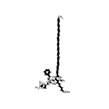 CC#CC#CC#CC#CC#CC#CC#CC#CC#CC#CC#CC#CC(=O)N[C@@H](COP(=O)(OCc1ccccc1)OC[C@H]1COC(C)(C)O1)[C@H](OC(C)C)[C@H](O)CCCCCCCCCCCCCC